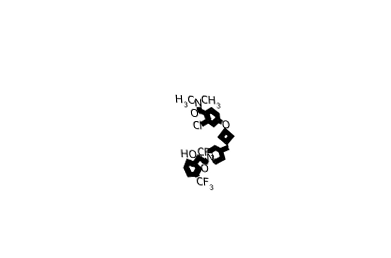 CN(C)C(=O)c1ccc(O[C@H]2C[C@@H](CC3CCN(C(=O)[C@](O)(c4cccc(C(F)(F)F)c4)C(F)(F)F)CC3)C2)cc1Cl